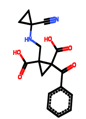 N#CC1(NCC2(C(=O)O)CC2(C(=O)O)C(=O)c2ccccc2)CC1